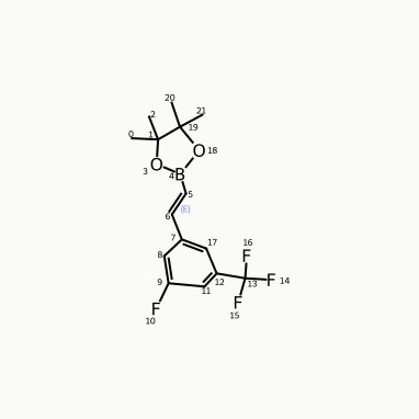 CC1(C)OB(/C=C/c2cc(F)cc(C(F)(F)F)c2)OC1(C)C